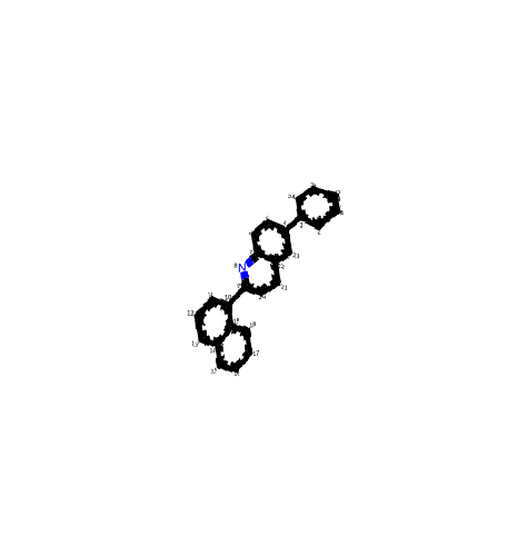 c1ccc(-c2ccc3nc(-c4cccc5ccccc45)ccc3c2)cc1